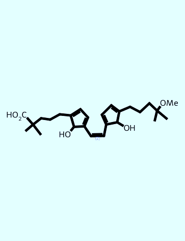 COC(C)(C)CCCC1=CC=C(/C=C\C2=CC=C(CCCC(C)(C)C(=O)O)C2O)C1O